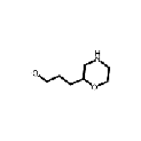 [O]CCCC1CNCCO1